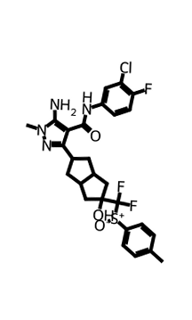 Cc1ccc([S+]([O-])C(F)(F)C2(O)CC3CC(c4nn(C)c(N)c4C(=O)Nc4ccc(F)c(Cl)c4)CC3C2)cc1